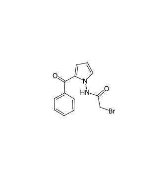 O=C(CBr)Nn1cccc1C(=O)c1ccccc1